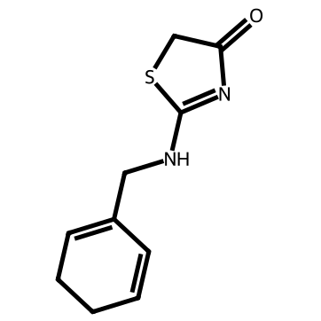 O=C1CSC(NCC2=CCCC=C2)=N1